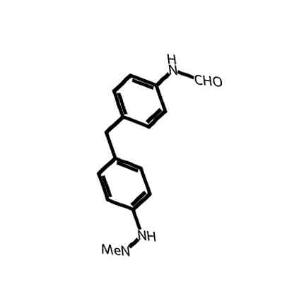 CNNc1ccc(Cc2ccc(NC=O)cc2)cc1